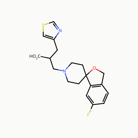 O=C(O)C(Cc1cscn1)CN1CCC2(CC1)OCc1ccc(F)cc12